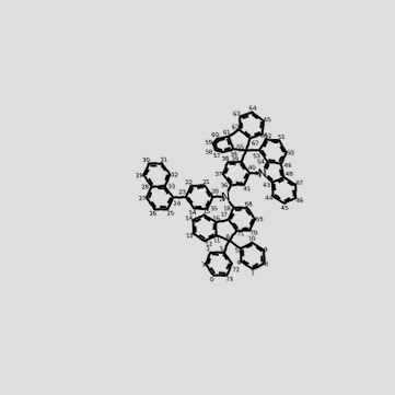 c1ccc(C2(c3ccccc3)c3ccccc3-c3c(N(c4ccc(-c5cccc6ccccc56)cc4)c4ccc5c(c4)-n4c6ccccc6c6cccc(c64)C54c5ccccc5-c5ccccc54)cccc32)cc1